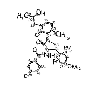 CCc1ccc(C(=O)N[C@@H]2C(=O)N(c3c(C)ccn(CC(C)O)c3=O)C[C@H]2c2c(F)cc(OC)cc2P)cc1